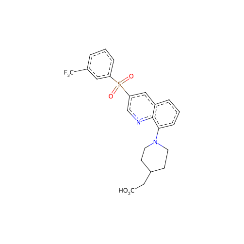 O=C(O)CC1CCN(c2cccc3cc(S(=O)(=O)c4cccc(C(F)(F)F)c4)cnc23)CC1